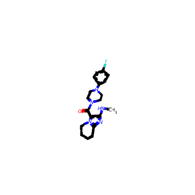 CNc1nc2n(c1C(=O)N1CCN(c3ccc(F)cc3)CC1)CCCC2